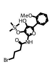 COc1ccccc1-c1oc(NC(=O)CCCBr)c(O[Si](C)(C)C)c1O